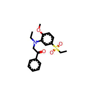 CCN(CC(=O)c1ccccc1)c1cc(S(=O)(=O)CC)ccc1OC